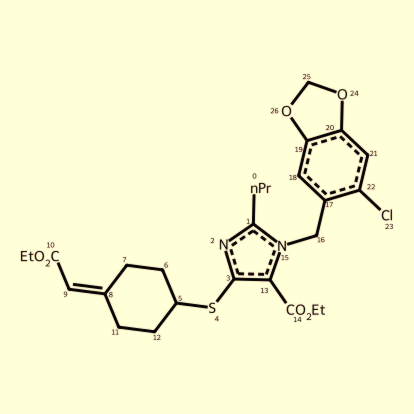 CCCc1nc(SC2CCC(=CC(=O)OCC)CC2)c(C(=O)OCC)n1Cc1cc2c(cc1Cl)OCO2